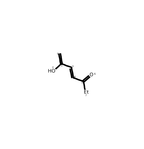 C=C(O)/C=C/C(=O)CC